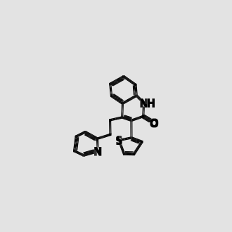 O=c1[nH]c2ccccc2c(CCc2ccccn2)c1-c1cccs1